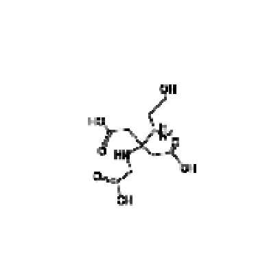 NC(CCO)C(CC(=O)O)(CC(=O)O)NCC(=O)O